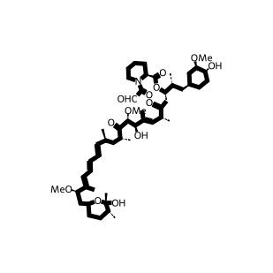 CO[C@@H](CC1CC[C@@H](C)[C@@](C)(O)O1)/C(C)=C/C=C/C=C/[C@@H](C)C[C@@H](C)C(=O)[C@H](OC)[C@H](O)/C(C)=C/[C@@H](C)C(=O)C[C@H](OC(=O)[C@@H]1CCCCN1C(=O)C=O)[C@H](C)C[C@@H]1CC[C@@H](O)[C@H](OC)C1